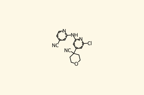 N#Cc1ccnc(Nc2cc(C3(C#N)CCOCC3)cc(Cl)n2)c1